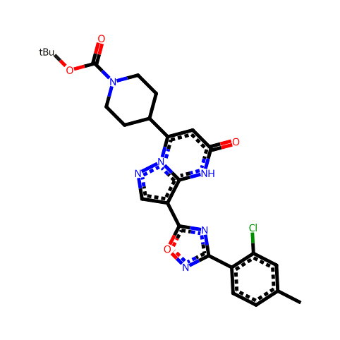 Cc1ccc(-c2noc(-c3cnn4c(C5CCN(C(=O)OC(C)(C)C)CC5)cc(=O)[nH]c34)n2)c(Cl)c1